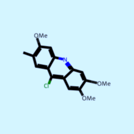 COc1cc2nc3cc(OC)c(OC)cc3c(Cl)c2cc1C